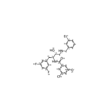 CCc1cccc(CNC[C@@H](O)[C@H](Cc2cc(F)cc(F)c2)NC(=O)c2c[n+]([O-])cc(Cl)n2)c1